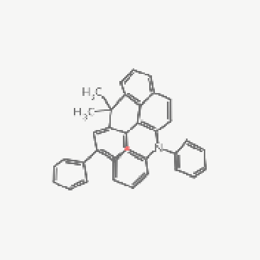 CC1(C)c2cc(-c3ccccc3)ccc2-c2c(N(c3ccccc3)c3ccccc3)ccc3cccc1c23